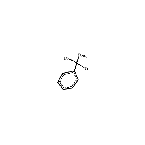 CCC(CC)(OC)c1ccccc1